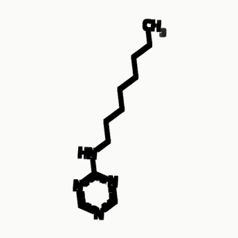 CCCCCCCCNc1ncncn1